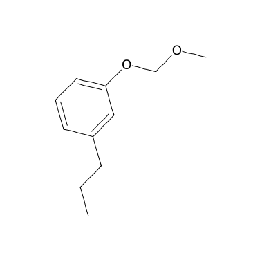 CCCc1cccc(OCOC)c1